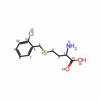 NC(CCSCc1ccccc1Cl)C(=O)O